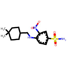 CC1(C)CCC(CNc2ccc(S(N)(=O)=O)cc2[N+](=O)[O-])CC1